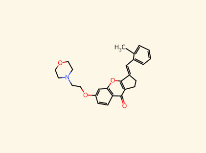 Cc1ccccc1C=C1CCc2c1oc1cc(OCCN3CCOCC3)ccc1c2=O